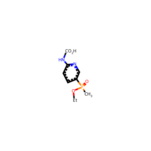 CCOP(C)(=O)c1ccc(NC(=O)O)nc1